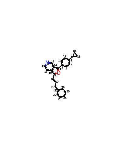 C(=C\c1oc(-c2ccc(C3CC3)cc2)c2cnccc12)/Cc1ccccc1